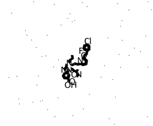 CCCN(CCCc1cccc(OCc2ccc(Cl)cc2F)n1)Cc1nc2ccc(C(=O)O)cc2n1Cc1cnco1